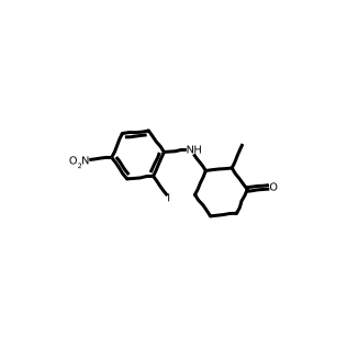 CC1C(=O)CCCC1Nc1ccc([N+](=O)[O-])cc1I